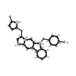 Cc1ccc(Cc2cnc3cc4c5ccccc5n(Cc5ccc(F)cc5)c4cn23)o1